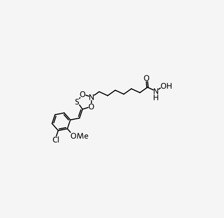 COc1c(Cl)cccc1/C=C1/ON(CCCCCCC(=O)NO)OS1